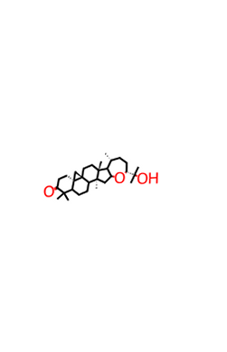 C[C@@H]1CC[C@H](C(C)(C)O)OC2C[C@@]3(C)C4CCC5C(C)(C)C(=O)CC[C@@]56C[C@@]46CC[C@]3(C)C21